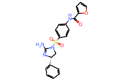 NC1=N[C@@H](c2ccccc2)CN1S(=O)(=O)c1ccc(NC(=O)c2ccco2)cc1